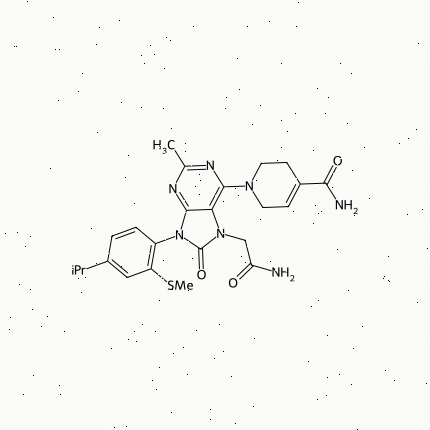 CSc1cc(C(C)C)ccc1-n1c(=O)n(CC(N)=O)c2c(N3CC=C(C(N)=O)CC3)nc(C)nc21